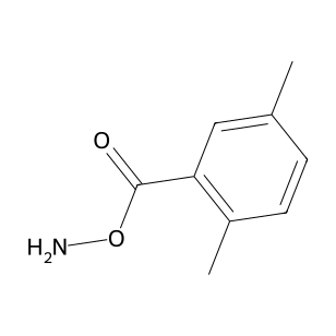 Cc1ccc(C)c(C(=O)ON)c1